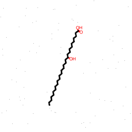 CCCCCCCCCCCCCCCCCCC(O)CCCCCCCCCC(=O)O